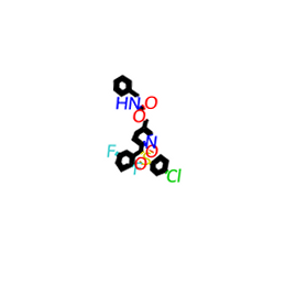 O=C(NCc1ccccc1)OCc1ccc(C(c2cc(F)ccc2F)S(=O)(=O)c2ccc(Cl)cc2)nc1